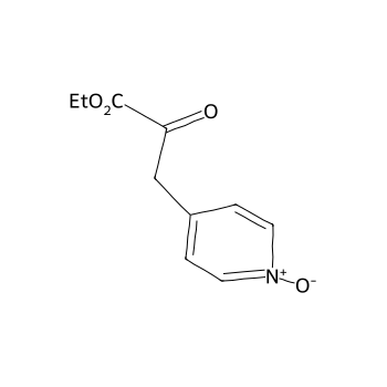 CCOC(=O)C(=O)Cc1cc[n+]([O-])cc1